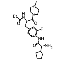 CCC(=O)N[C@@H](C(=O)N1CCN(C)CC1)[C@@H](C)c1ccc(NC(=O)[C@@H](N)C2CCCC2)c(F)c1